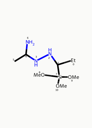 CCC(NNC(C)N)[Si](OC)(OC)OC